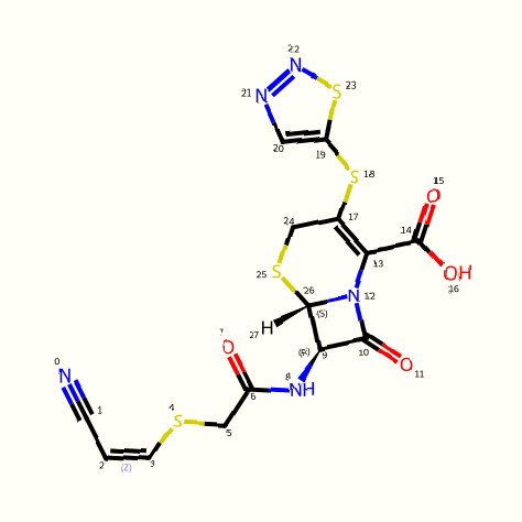 N#C/C=C\SCC(=O)N[C@@H]1C(=O)N2C(C(=O)O)=C(Sc3cnns3)CS[C@@H]12